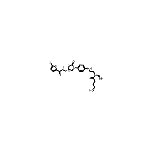 N=CN(CCNc1ccc(N2C[C@H](CNC(=O)c3ccc(Cl)s3)OC2=O)cc1)C(=O)CCCO